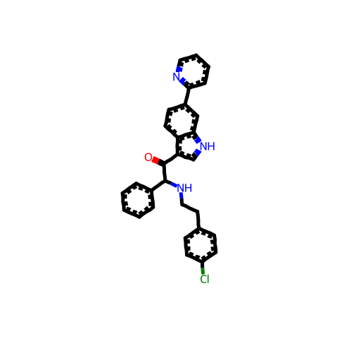 O=C(c1c[nH]c2cc(-c3ccccn3)ccc12)C(NCCc1ccc(Cl)cc1)c1ccccc1